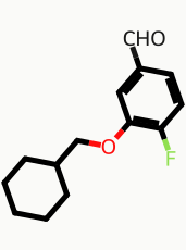 O=Cc1ccc(F)c(OCC2CCCCC2)c1